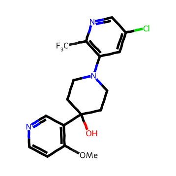 COc1ccncc1C1(O)CCN(c2cc(Cl)cnc2C(F)(F)F)CC1